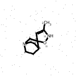 CC1=CC2(CN3CCC2CC3)ON1